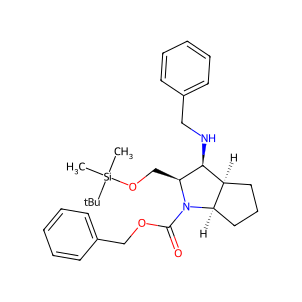 CC(C)(C)[Si](C)(C)OC[C@H]1[C@@H](NCc2ccccc2)[C@H]2CCC[C@H]2N1C(=O)OCc1ccccc1